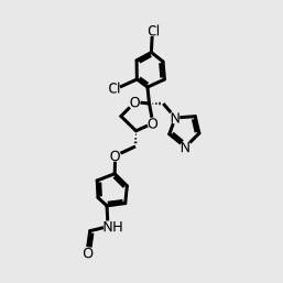 O=CNc1ccc(OC[C@@H]2CO[C@@](Cn3ccnc3)(c3ccc(Cl)cc3Cl)O2)cc1